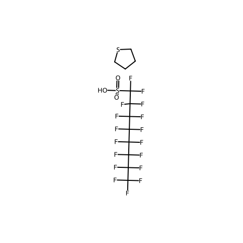 C1CCSC1.O=S(=O)(O)C(F)(F)C(F)(F)C(F)(F)C(F)(F)C(F)(F)C(F)(F)C(F)(F)C(F)(F)F